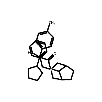 Cc1ccc(C(O)(C(=O)OC2C3CCC2CN(Cc2ccccc2)C3)C2CCCC2)cc1